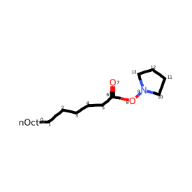 CCCCCCCCCCCCCC(=O)ON1CCCC1